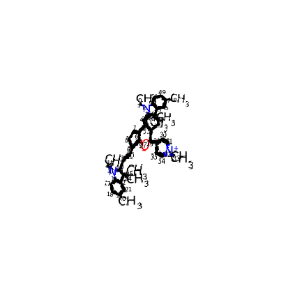 CCN1/C(=C/C=C2\CCC(/C=C/C3N(CC)c4ccc(C)cc4C3(C)C)=C2OC(c2cc[n+](C)cc2)C2CCCCC2)C(C)(C)c2cc(C)ccc21